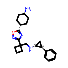 N[C@H]1CC[C@H](c2nc(C3(CN[C@@H]4C[C@H]4c4ccccc4)CCC3)no2)CC1